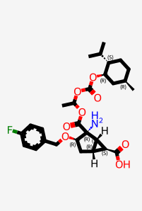 CC(OC(=O)O[C@@H]1C[C@H](C)CC[C@H]1C(C)C)OC(=O)[C@@]1(N)[C@H]2[C@@H](C[C@H]1OCc1ccc(F)cc1)[C@@H]2C(=O)O